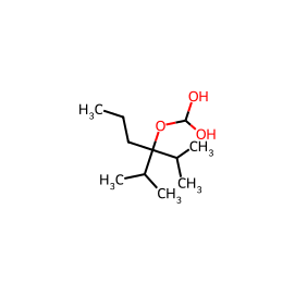 CCCC(OC(O)O)(C(C)C)C(C)C